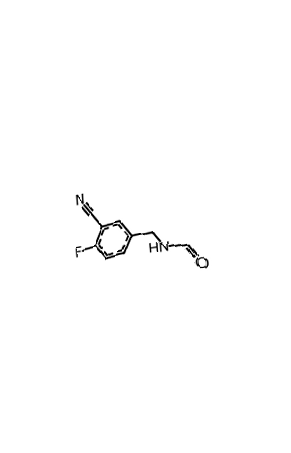 N#Cc1cc(CNC=O)ccc1F